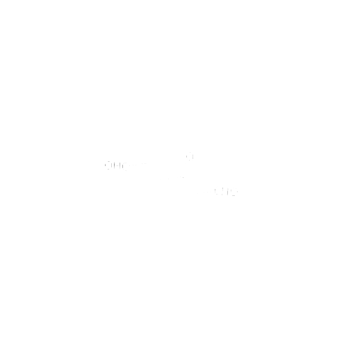 O=CCCC(=O)CC=O